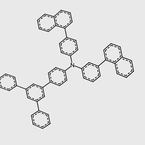 c1ccc(-c2cc(-c3ccccc3)cc(-c3ccc(N(c4ccc(-c5cccc6ccccc56)cc4)c4cccc(-c5cccc6ccccc56)c4)cc3)c2)cc1